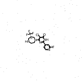 O=c1[nH]c(-c2ccnc(F)c2)nc(N2CCNC[C@H](C(F)(F)F)C2)c1Cl